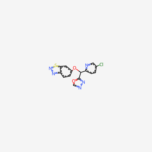 Clc1ccc(C(Oc2ccc3nnsc3c2)c2nnco2)nc1